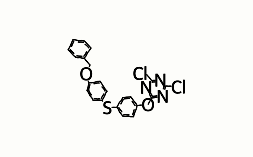 Clc1nc(Cl)nc(Oc2ccc(Sc3ccc(OCc4ccccc4)cc3)cc2)n1